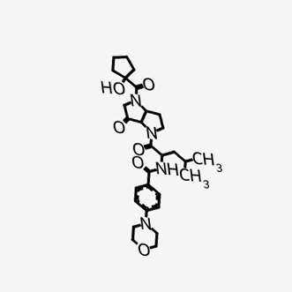 CC(C)CC(NC(=O)c1ccc(N2CCOCC2)cc1)C(=O)N1CCC2C1C(=O)CN2C(=O)C1(O)CCCC1